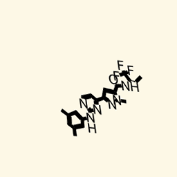 CC[C@H](NC(=O)c1cc(-c2ccnc(Nc3cc(C)cc(C)c3)n2)nn1C)C(F)(F)F